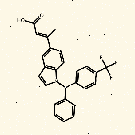 CC(=CC(=O)O)c1ccc2c(ccn2C(c2ccccc2)c2ccc(C(F)(F)F)cc2)c1